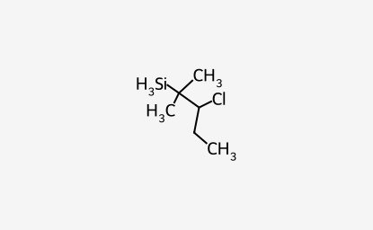 CCC(Cl)C(C)(C)[SiH3]